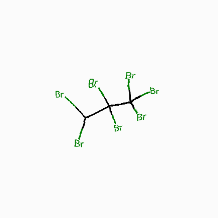 Br[C](Br)C(Br)(Br)C(Br)(Br)Br